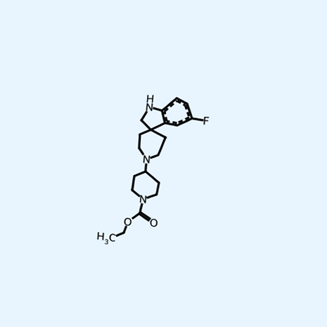 CCOC(=O)N1CCC(N2CCC3(CC2)CNc2ccc(F)cc23)CC1